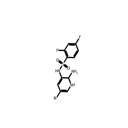 NC1NC=C(Br)C=C1NS(=O)(=O)c1ccc(F)cc1F